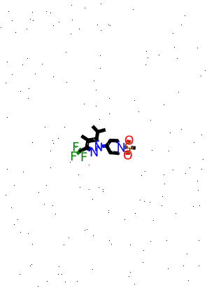 Cc1c(C(F)(F)F)nn(C2CCN(S(C)(=O)=O)CC2)c1C(C)C